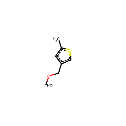 Cc1cc(COC=O)cs1